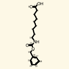 O=C(O)CCCCCCCCNC(=O)OCc1ccccc1